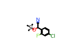 C[Si](C)(C)OC(C#N)c1ccc(Cl)cc1F